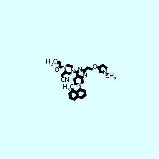 C=CC(=O)N1CCN(c2nc(CCOC3CCN(C)C3)nc3c2CCN(c2cccc4cccc(C)c24)C3)CC1CC#N